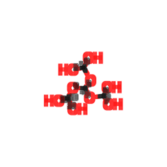 OC(O)OC(OC(O)O)OC(O)O